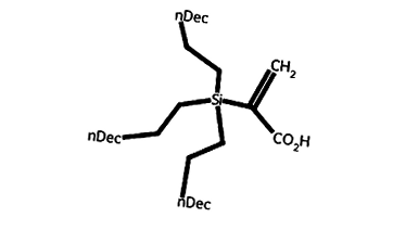 C=C(C(=O)O)[Si](CCCCCCCCCCCC)(CCCCCCCCCCCC)CCCCCCCCCCCC